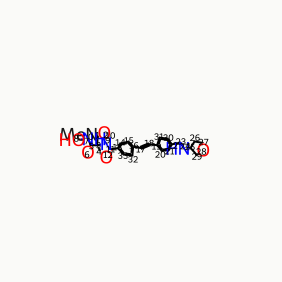 CNC(=O)[C@@](C)(C(=O)NO)N(C)C(=O)c1ccc(C#Cc2ccc(CNC3CCOC3)cc2)cc1